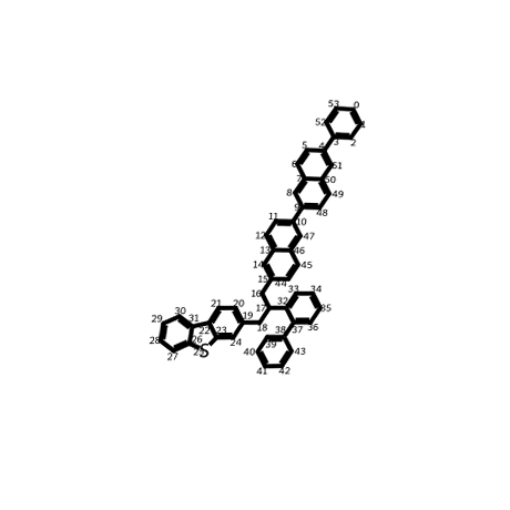 c1ccc(-c2ccc3cc(-c4ccc5cc(CC(Cc6ccc7c(c6)sc6ccccc67)c6ccccc6-c6ccccc6)ccc5c4)ccc3c2)cc1